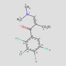 CCOC(=O)/C(=C/N(C)C)C(=O)c1cc(F)c(F)c(Cl)c1F